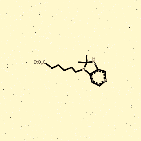 CCOC(=O)CCCCCN1c2ccncc2NC1(C)C